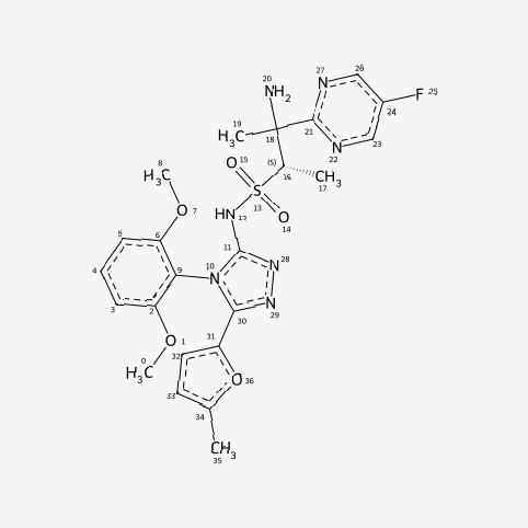 COc1cccc(OC)c1-n1c(NS(=O)(=O)[C@@H](C)C(C)(N)c2ncc(F)cn2)nnc1-c1ccc(C)o1